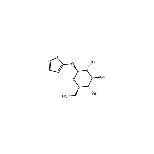 OC[C@H]1O[C@@H](Oc2cccs2)[C@H](O)[C@@H](O)[C@@H]1O